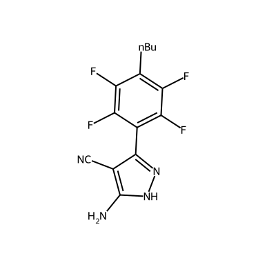 CCCCc1c(F)c(F)c(-c2n[nH]c(N)c2C#N)c(F)c1F